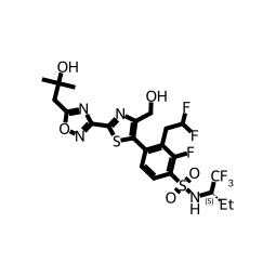 CC[C@H](NS(=O)(=O)c1ccc(-c2sc(-c3noc(CC(C)(C)O)n3)nc2CO)c(CC(F)F)c1F)C(F)(F)F